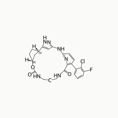 O=C1NCCCNC(=O)c2nc(ccc2-c2cccc(F)c2Cl)Nc2cc([nH]n2)[C@H]2CC[C@H](C2)O1